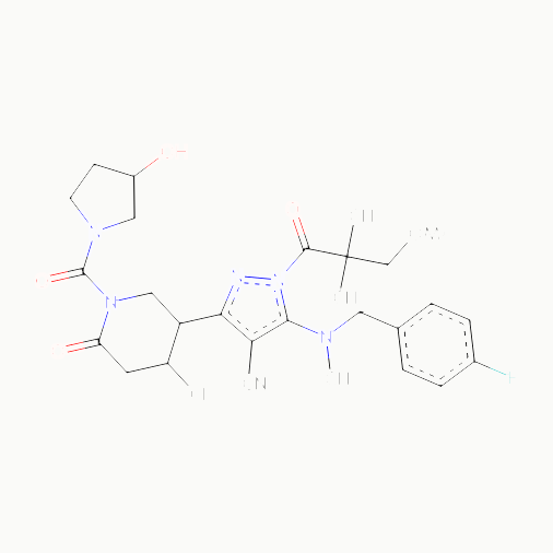 COCC(C)(C)C(=O)n1nc(C2CN(C(=O)N3CCC(O)C3)C(=O)CC2C)c(C#N)c1N(C)Cc1ccc(F)cc1